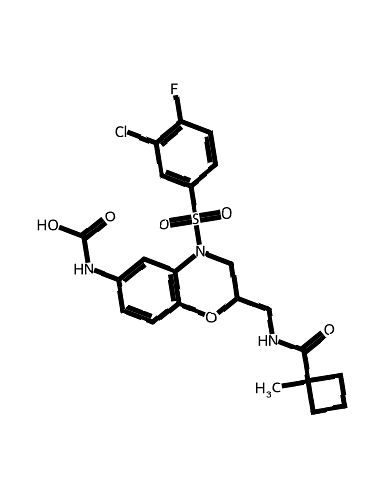 CC1(C(=O)NCC2CN(S(=O)(=O)c3ccc(F)c(Cl)c3)c3cc(NC(=O)O)ccc3O2)CCC1